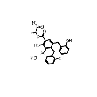 CCN(CC)C(C)OC(=O)c1cc(Cc2ccccc2O)c(Cc2ccccc2O)c(C(C)=O)c1O.Cl